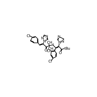 CC(C)(C)C(=O)C(=C(CC(C)(C)C(=O)C(=Cc1ccc(Cl)cc1)n1cncn1)c1ccc(Cl)cc1Cl)n1cncn1